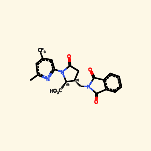 Cc1cc(C(F)(F)F)cc(N2C(=O)C[C@H](CN3C(=O)c4ccccc4C3=O)[C@H]2C(=O)O)n1